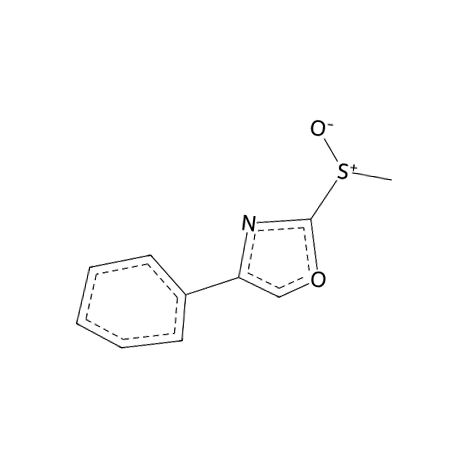 C[S+]([O-])c1nc(-c2ccccc2)co1